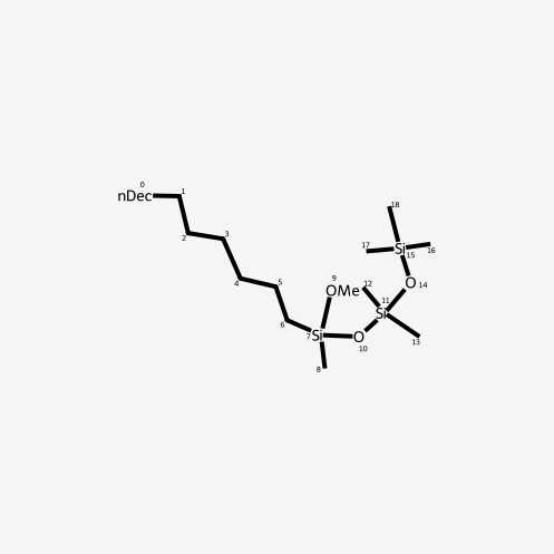 CCCCCCCCCCCCCCCC[Si](C)(OC)O[Si](C)(C)O[Si](C)(C)C